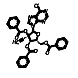 C#C[C@]1(OC(=O)c2ccccc2)C(n2cnc3c(Cl)ncnc32)O[C@H](COC(=O)c2ccccc2)[C@H]1OC(=O)c1ccccc1